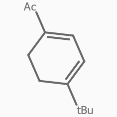 CC(=O)C1=CC=C(C(C)(C)C)CC1